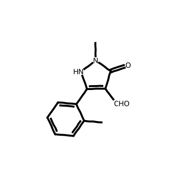 Cc1ccccc1-c1[nH]n(C)c(=O)c1C=O